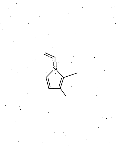 C=C[SiH]1C=CC(C)=C1C